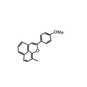 COc1ccc(C2=Cc3cccc4ccc(C)c(c34)O2)cc1